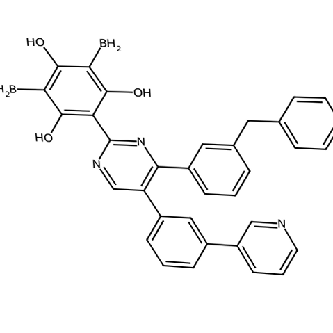 Bc1c(O)c(B)c(O)c(-c2ncc(-c3cccc(-c4cccnc4)c3)c(-c3cccc(Cc4ccccc4)c3)n2)c1O